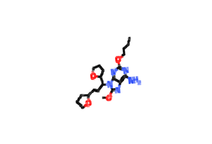 CCCCOc1nc(N)c2nc(OC)n(C(CCC3CCCO3)C3CCCO3)c2n1